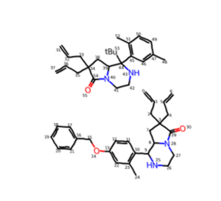 C=CCC1(CC=C)CC2C(c3ccc(OCc4ccccc4)cc3C)NCCN2C1=O.C=CCC1(CC=C)CC2N(CCNC2(c2cc(C)ccc2C)C(C)(C)C)C1=O